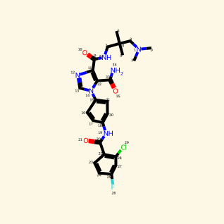 CN(C)CC(C)(C)CNC(=O)c1ncn(-c2ccc(NC(=O)c3ccc(F)cc3Cl)cc2)c1C(N)=O